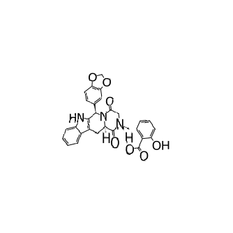 CN1CC(=O)N2[C@H](c3ccc4c(c3)OCO4)c3[nH]c4ccccc4c3C[C@@H]2C1=O.O=C(O)c1ccccc1O